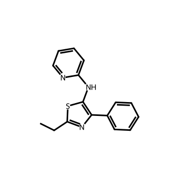 CCc1nc(-c2ccccc2)c(Nc2ccccn2)s1